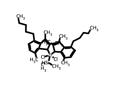 CCCCCc1ccc(C)c2c1C(C)=C(C)[CH]2[Zr]([Cl])([Cl])([CH]1C(C)=C(C)c2c(CCCCC)ccc(C)c21)[SiH](C)C